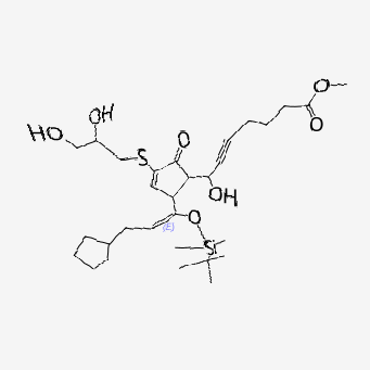 COC(=O)CCCC#CC(O)C1C(=O)C(SCC(O)CO)=CC1/C(=C\CC1CCCC1)O[Si](C)(C)C(C)(C)C